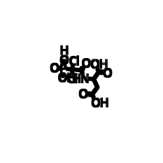 O=C(O)CC(NC(=O)C(Cl)(Cl)P(=O)(O)O)C(=O)O